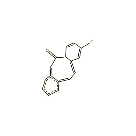 O=C1/C=c2/cccc/c2=C/C=C2/C=C(Cl)C=CC12